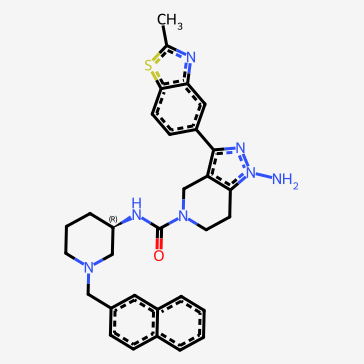 Cc1nc2cc(-c3nn(N)c4c3CN(C(=O)N[C@@H]3CCCN(Cc5ccc6ccccc6c5)C3)CC4)ccc2s1